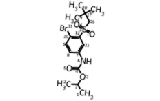 CC(C)OC(=O)Nc1ccc(Br)c(S(=O)(=O)CC(C)(C)C)c1